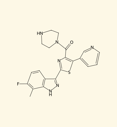 Cc1c(F)ccc2c(-c3nc(C(=O)N4CCNCC4)c(-c4cccnc4)s3)n[nH]c12